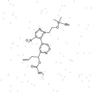 C=CCC(OC(N)=O)c1cc(-c2c([N+](=O)[O-])cnn2CCO[Si](C)(C)C(C)(C)C)ccn1